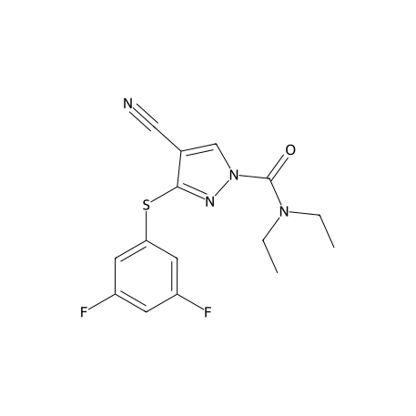 CCN(CC)C(=O)n1cc(C#N)c(Sc2cc(F)cc(F)c2)n1